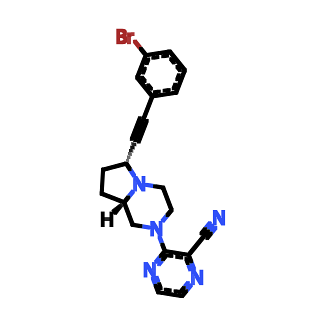 N#Cc1nccnc1N1CCN2[C@@H](CC[C@@H]2C#Cc2cccc(Br)c2)C1